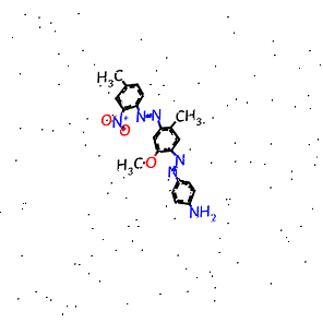 COc1cc(/N=N/c2ccc(C)cc2[N+](=O)[O-])c(C)cc1/N=N/c1ccc(N)cc1